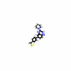 CC(S)c1ccc(-c2ccc3ncc(N4CCCCC4)nc3c2)cc1